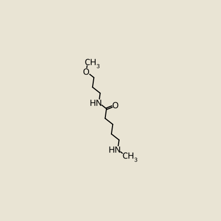 CNCCCCC(=O)NCCCOC